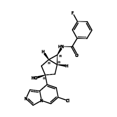 O=C(N[C@H]1[C@@H]2C[C@](O)(c3cc(Cl)cn4cncc34)C[C@@H]21)c1cccc(F)c1